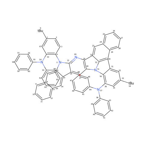 CC(C)(C)c1ccc(-n2c3cc4ccccc4cc3c3cc4c(nc32)c2cc3ccccc3c3c5cc(C(C)(C)C)cc(N(c6ccccc6)c6ccccc6)c5n4c23)c(N(c2ccccc2)c2ccccc2)c1